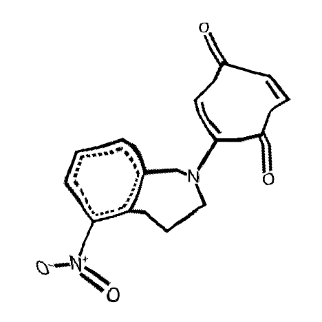 O=C1C=CC(=O)C(N2CCc3c2cccc3[N+](=O)[O-])=C1